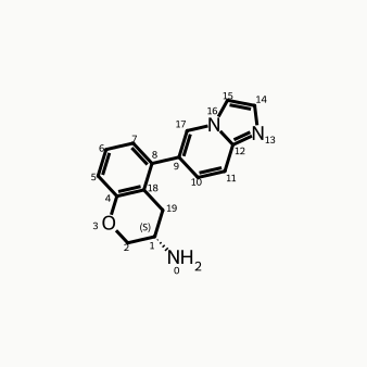 N[C@@H]1COc2cccc(-c3ccc4nccn4c3)c2C1